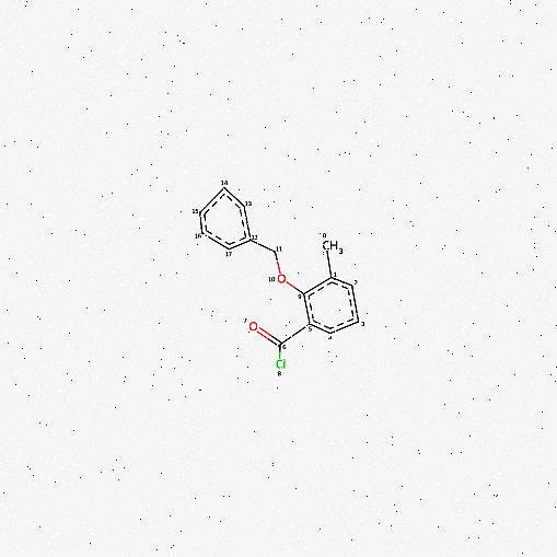 Cc1cccc(C(=O)Cl)c1OCc1ccccc1